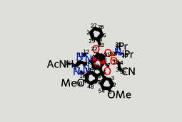 COc1ccc(C(OC[C@H]2O[C@@H](n3cnc4c(NC(C)=O)ncnc43)[C@H](OCc3ccccc3)[C@@H]2OP(OCCC#N)N(C(C)C)C(C)C)(c2ccccc2)c2ccc(OC)cc2)cc1